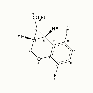 CCOC(=O)C1[C@H]2COc3c(F)ccc(F)c3[C@@H]12